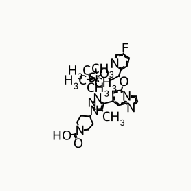 Cc1c(-c2cc(OC(CO[Si](C)(C)C(C)(C)C)c3ccc(F)cn3)n3ccnc3c2)nnn1C1CCN(C(=O)O)CC1